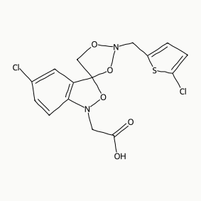 O=C(O)CN1OC2(CON(Cc3ccc(Cl)s3)O2)c2cc(Cl)ccc21